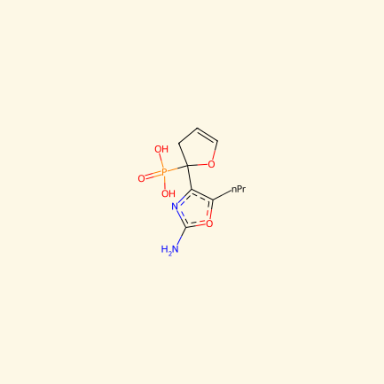 CCCc1oc(N)nc1C1(P(=O)(O)O)CC=CO1